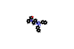 c1ccc2cc(-c3nc(-c4ccc5ccccc5c4)nc(-c4cccc5c(-n6c7ccccc7c7ccccc76)cccc45)n3)ccc2c1